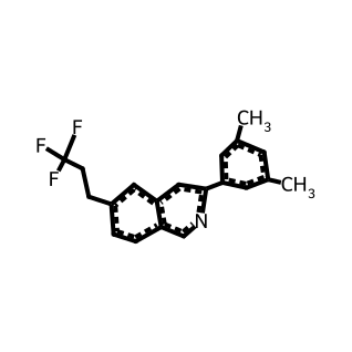 Cc1cc(C)cc(-c2cc3cc(CCC(F)(F)F)ccc3cn2)c1